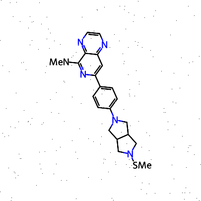 CNc1nc(-c2ccc(N3CC4CN(SC)CC4C3)cc2)cc2nccnc12